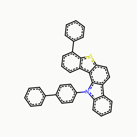 c1ccc(-c2ccc(-n3c4ccccc4c4ccc5sc6c(-c7ccccc7)cccc6c5c43)cc2)cc1